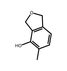 Cc1ccc2c(c1O)COC2